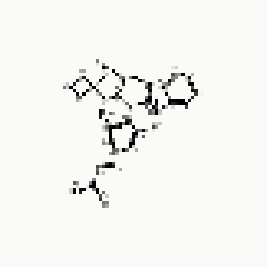 CCC1(CN2C(C)Cc3c([nH]c4ccccc34)C2c2c(F)cc(/C=C/C(=O)O)cc2F)CCC1